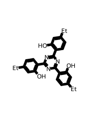 CCc1ccc(-c2nc(-c3ccc(CC)cc3O)nc(-c3ccc(CC)cc3O)n2)c(O)c1